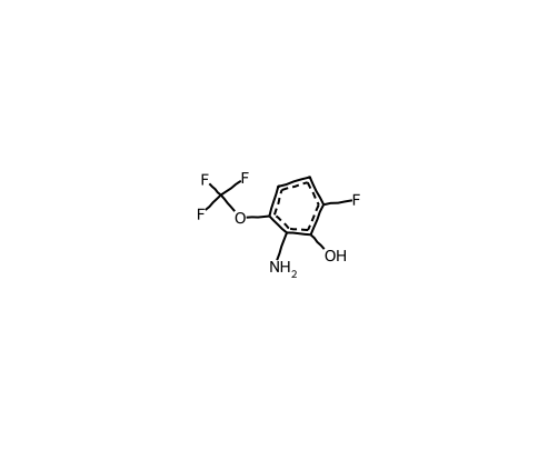 Nc1c(OC(F)(F)F)ccc(F)c1O